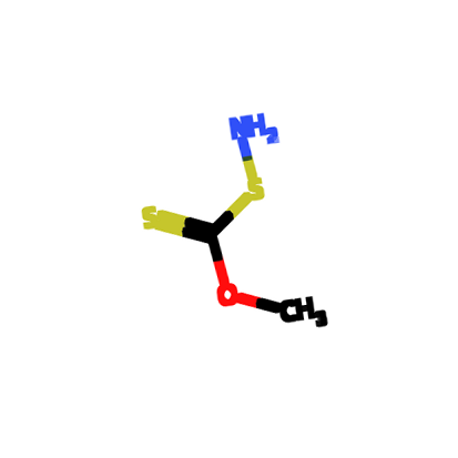 COC(=S)SN